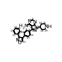 Nc1ncnc2c1c(-c1ccc(-c3[c]onc3-c3ccccc3)cc1)nn2C1CCNCC1